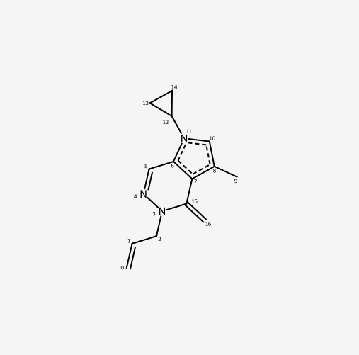 C=CCN1N=Cc2c(c(C)cn2C2CC2)C1=C